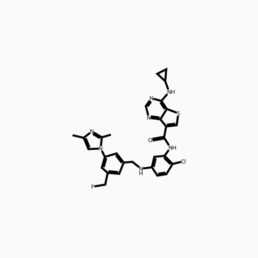 Cc1cn(-c2cc(CF)cc(CNc3ccc(Cl)c(NC(=O)c4csc5c(NC6CC6)ncnc45)c3)c2)c(C)n1